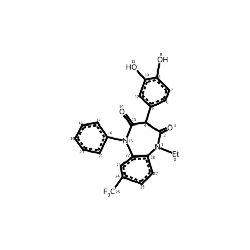 CCN1C(=O)C(c2ccc(O)c(O)c2)C(=O)N(c2ccccc2)c2cc(C(F)(F)F)ccc21